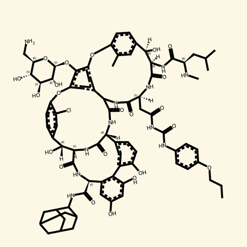 CCCOc1ccc(NC(=O)NC(=O)C[C@@H]2NC(=O)[C@H](NC(=O)[C@@H](CC(C)C)NC)[C@H](O)c3ccc(c(C)c3)Oc3cc4cc(c3O[C@@H]3O[C@H](CN)[C@@H](O)[C@H](O)[C@H]3O)Oc3ccc(cc3Cl)[C@@H](O)[C@@H]3NC(=O)[C@H](NC(=O)C4NC2=O)c2ccc(O)c(c2)-c2c(O)cc(O)cc2[C@@H](C(=O)NC2C4CC5CC(C4)CC2C5)NC3=O)cc1